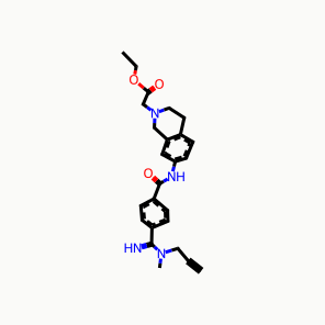 C#CCN(C)C(=N)c1ccc(C(=O)Nc2ccc3c(c2)CN(CC(=O)OCC)CC3)cc1